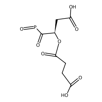 O=PC(=O)[C@@H](CC(=O)O)OC(=O)CCC(=O)O